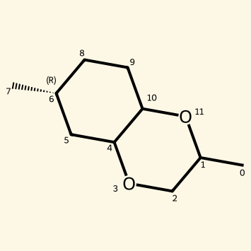 CC1COC2C[C@H](C)CCC2O1